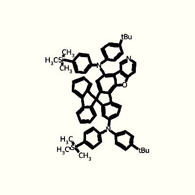 CC(C)(C)c1ccc(N(c2ccc([Si](C)(C)C)cc2)c2ccc3c(c2)C2(c4ccccc4-c4ccccc42)c2cc(N(c4ccc(C(C)(C)C)cc4)c4ccc([Si](C)(C)C)cc4)c4c(oc5ccncc54)c2-3)cc1